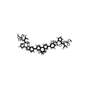 COC(=O)N[C@H](C(=O)C1CCC[C@H]1c1nc2ccc(-c3ccc4c(c3)C(F)(F)C(F)(F)c3cc(-c5ccc6nc([C@@H]7CCCN7C(=O)[C@@H](NC(=O)OC)C(C)C)[nH]c6c5)ccc3-4)cc2[nH]1)C(C)C